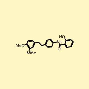 COc1ccc(CCc2ccc(NC(=O)c3ccccc3O)cc2)cc1OC